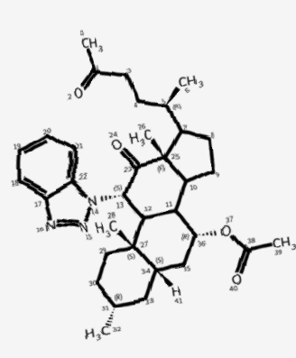 CC(=O)CC[C@@H](C)C1CCC2C3C([C@H](n4nnc5ccccc54)C(=O)[C@@]21C)[C@@]1(C)CC[C@@H](C)C[C@H]1C[C@H]3OC(C)=O